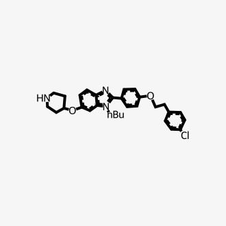 CCCCn1c(-c2ccc(OCCc3ccc(Cl)cc3)cc2)nc2ccc(OC3CCNCC3)cc21